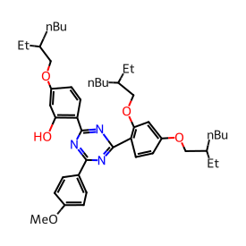 CCCCC(CC)COc1ccc(-c2nc(-c3ccc(OC)cc3)nc(-c3ccc(OCC(CC)CCCC)cc3OCC(CC)CCCC)n2)c(O)c1